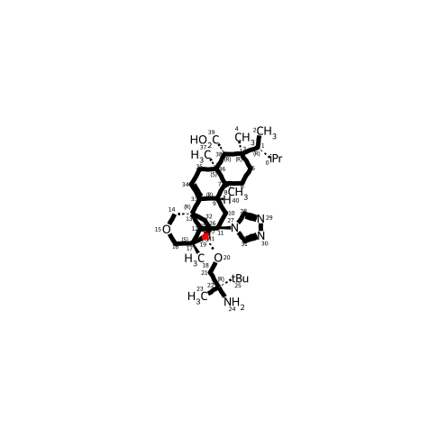 CC(C)[C@@H](C)[C@@]1(C)CC[C@]2(C)[C@H]3CC[C@@H]4[C@@]5(COC[C@@]4(C)[C@@H](OC[C@](C)(N)C(C)(C)C)[C@H](n4cnnc4)C5)C3=CC[C@@]2(C)[C@@H]1C(=O)O